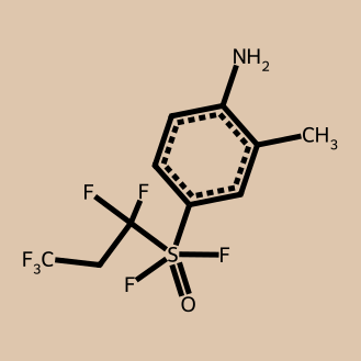 Cc1cc(S(=O)(F)(F)C(F)(F)CC(F)(F)F)ccc1N